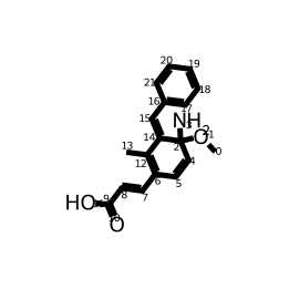 COC1(N)C=CC(C=CC(=O)O)=C(C)C1=Cc1ccccc1